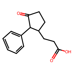 O=C(O)CCC1CCC(=O)C1c1ccccc1